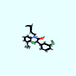 CC=CCN(C(=O)C(Cl)c1cccc(Cl)c1)c1cccc(C(C)C)c1